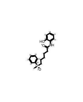 CP(=O)(CCCCCC(=O)Nc1ccccc1O)c1ccccc1